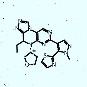 CCC1c2nncn2-c2cnc(-c3cnn(C)c3-c3nccs3)nc2N1[C@@H]1CCOC1